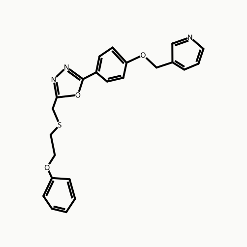 c1ccc(OCCSCc2nnc(-c3ccc(OCc4cccnc4)cc3)o2)cc1